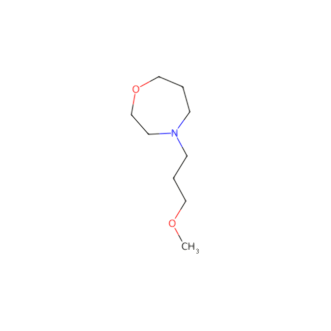 COCCCN1CCCOCC1